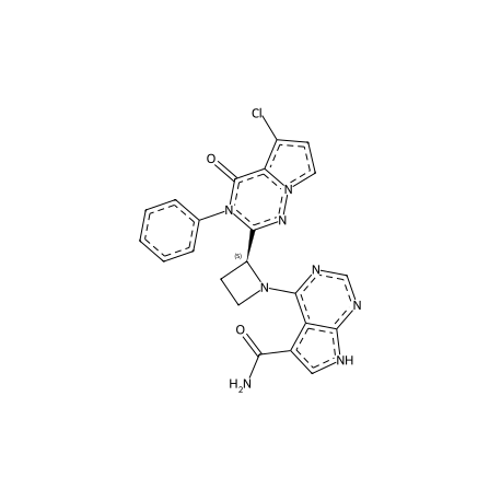 NC(=O)c1c[nH]c2ncnc(N3CC[C@H]3c3nn4ccc(Cl)c4c(=O)n3-c3ccccc3)c12